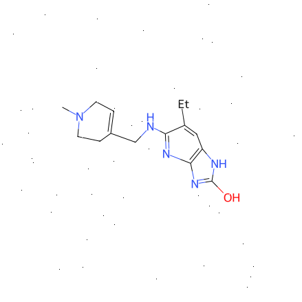 CCc1cc2[nH]c(O)nc2nc1NCC1=CCN(C)CC1